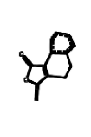 C=C1OC(=O)C2=C1CCc1ccccc12